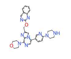 c1ccc2nc(OCc3cn4c(-c5ccc(N6CCNCC6)nc5)cnc(N5CCOCC5)c4n3)ncc2c1